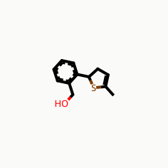 CC1=CCC(c2ccccc2CO)S1